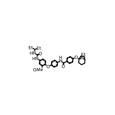 CCC(CC)NC(=O)Nc1ccc(Oc2ccc(NC(=O)c3ccc(OC45CCCC(CC4)N5CC)cc3)cc2)c(OC)c1